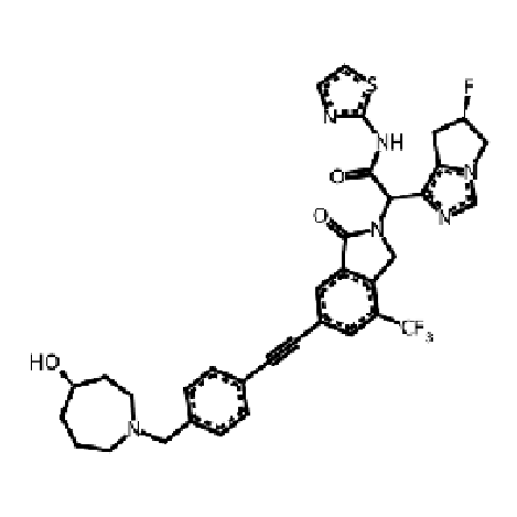 O=C(Nc1nccs1)[C@@H](c1ncn2c1C[C@@H](F)C2)N1Cc2c(cc(C#Cc3ccc(CN4CCC[C@@H](O)CC4)cc3)cc2C(F)(F)F)C1=O